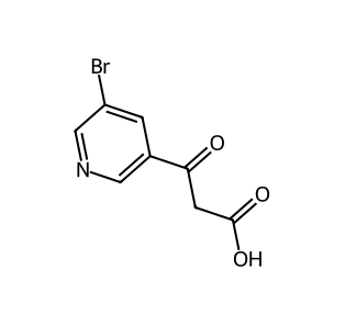 O=C(O)CC(=O)c1cncc(Br)c1